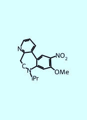 COc1cc2c(cc1[N+](=O)[O-])-c1cccnc1CCN2C(C)C